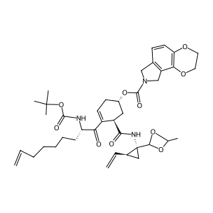 C=CCCCCC[C@H](NC(=O)OC(C)(C)C)C(=O)C1=CC[C@H](OC(=O)N2Cc3ccc4c(c3C2)OCCO4)C[C@H]1C(=O)N[C@]1(C2OC(C)O2)C[C@H]1C=C